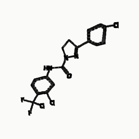 O=C(Nc1ccc(C(F)(F)Cl)c(Cl)c1)N1CCC(c2ccc(Cl)cc2)=N1